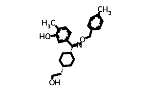 Cc1ccc(CON=C(c2ccc(C)c(O)c2)[C@H]2CC[C@@H](CCO)CC2)cc1